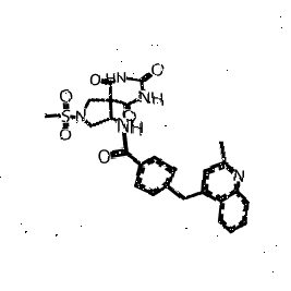 Cc1cc(Cc2ccc(C(=O)NC3CN(S(C)(=O)=O)CC34C(=O)NC(=O)NC4=O)cc2)c2ccccc2n1